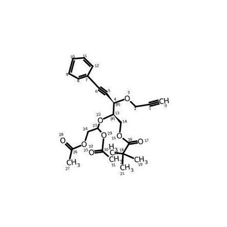 C#CCO[C@H](C#Cc1ccccc1)[C@@H](COC(=O)C(C)(C)C)OC(COC(C)=O)OC(C)=O